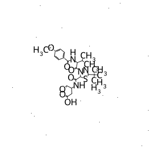 COc1ccc(C(=O)NC(C(=O)N2N=C(C(C)(C)C)SC2C(=O)NC(C=O)CC(=O)O)C(C)C)cc1